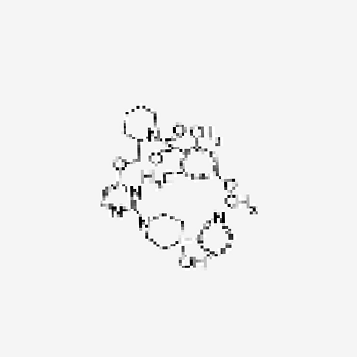 COc1cc(C)c(S(=O)(=O)N2CCCCC2COc2ccnc(N3CCC(O)(c4cccnc4)CC3)n2)c(C)c1